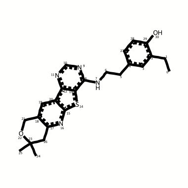 CCc1cc(CCNc2ncnc3c2sc2nc4c(cc23)COC(C)(C)C4)ccc1O